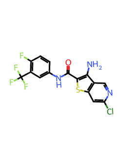 Nc1c(C(=O)Nc2ccc(F)c(C(F)(F)F)c2)sc2cc(Cl)ncc12